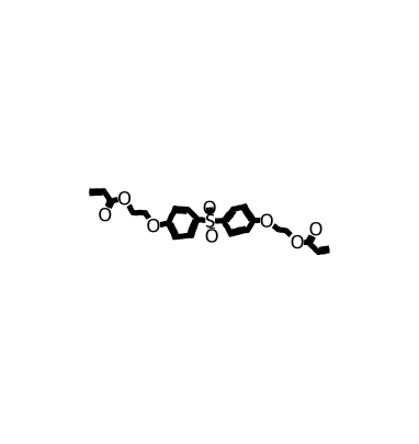 C=CC(=O)OCCOc1ccc(S(=O)(=O)c2ccc(OCCOC(=O)C=C)cc2)cc1